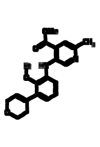 CCOc1c(Nc2cnc(C)cc2C(=O)OC)cccc1C1=CCOCC1